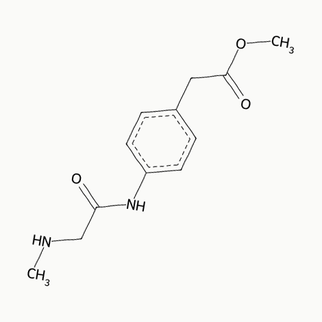 CNCC(=O)Nc1ccc(CC(=O)OC)cc1